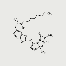 CC1(C)S[C@@H]2C(N)C(=O)N2[C@H]1C(=O)O.CCCCCCCC[S+]([O-])C(C)Cc1ccc2c(c1)OCO2